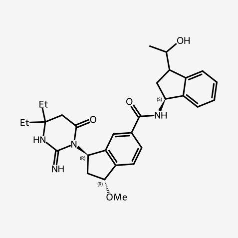 CCC1(CC)CC(=O)N([C@@H]2C[C@@H](OC)c3ccc(C(=O)N[C@H]4CC(C(C)O)c5ccccc54)cc32)C(=N)N1